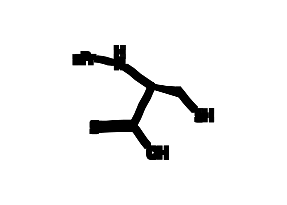 CCCN[C@@H](CS)C(O)=S